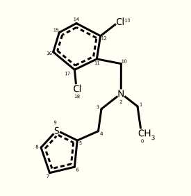 CCN(CCc1cccs1)Cc1c(Cl)cccc1Cl